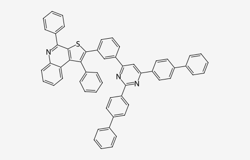 c1ccc(-c2ccc(-c3cc(-c4cccc(-c5sc6c(-c7ccccc7)nc7ccccc7c6c5-c5ccccc5)c4)nc(-c4ccc(-c5ccccc5)cc4)n3)cc2)cc1